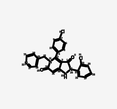 O=c1c2c(-c3ccc(Cl)cc3)n(Cc3ccncc3)c(=O)cc2[nH]n1-c1ccccc1Cl